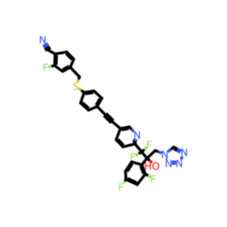 N#Cc1ccc(CSc2ccc(C#Cc3ccc(C(F)(F)C(O)(Cn4cnnn4)c4ccc(F)cc4F)nc3)cc2)cc1F